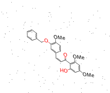 COc1cc(O)c(C(=O)/C=C\c2ccc(OC)c(OCc3ccccc3)c2)c(OC)c1